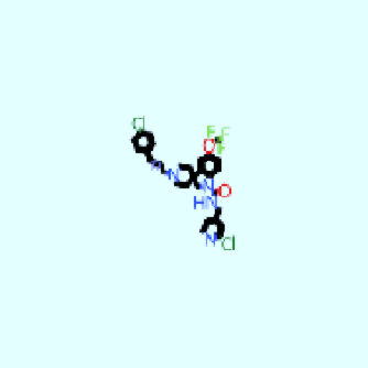 O=C(NCc1ccnc(Cl)c1)N1CC2(CCN(C/C=C/c3ccc(Cl)cc3)CC2)c2cc(OC(F)(F)F)ccc21